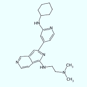 CN(C)CCNc1nc(-c2ccnc(NC3CCCCC3)c2)cc2cnccc12